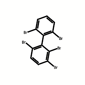 Brc1[c]cc(Br)c(-c2c(Br)cccc2Br)c1Br